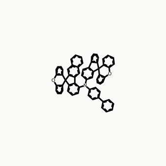 c1ccc(-c2ccc(N(c3ccc4c(c3)C3(c5ccccc5Oc5ccccc53)c3ccccc3-4)c3cccc4c3-c3cc5ccccc5cc3C43c4ccccc4Oc4ccccc43)cc2)cc1